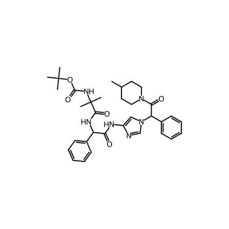 CC1CCN(C(=O)C(c2ccccc2)n2cnc(NC(=O)C(NC(=O)C(C)(C)NC(=O)OC(C)(C)C)c3ccccc3)c2)CC1